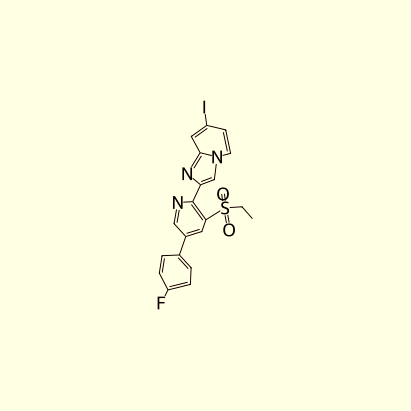 CCS(=O)(=O)c1cc(-c2ccc(F)cc2)cnc1-c1cn2ccc(I)cc2n1